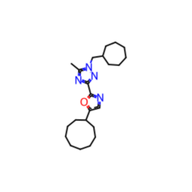 Cc1nc(-c2ncc(C3CCCCCCCC3)o2)nn1CC1CCCCCC1